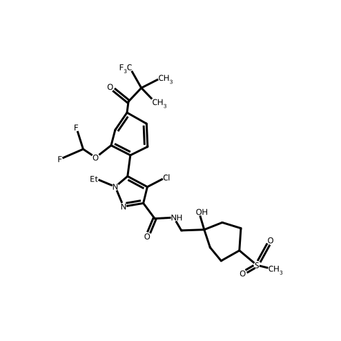 CCn1nc(C(=O)NCC2(O)CCC(S(C)(=O)=O)CC2)c(Cl)c1-c1ccc(C(=O)C(C)(C)C(F)(F)F)cc1OC(F)F